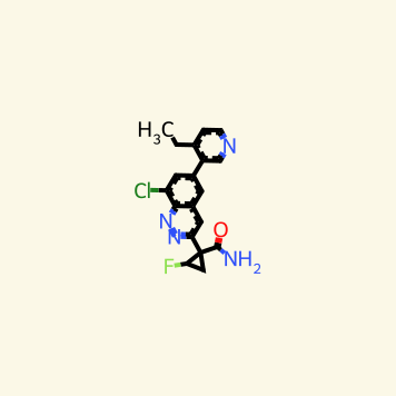 CCc1ccncc1-c1cc(Cl)c2nnc(C3(C(N)=O)CC3F)cc2c1